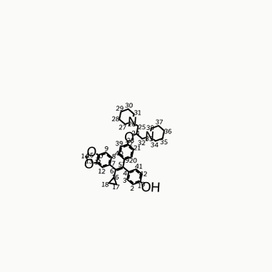 Oc1ccc(C(=C(c2ccc3c(c2)OCO3)C2CC2)c2ccc(OC(CN3CCCCC3)CN3CCCCC3)cc2)cc1